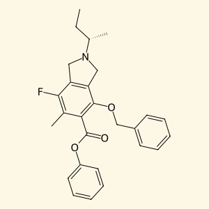 CC[C@H](C)N1Cc2c(F)c(C)c(C(=O)Oc3ccccc3)c(OCc3ccccc3)c2C1